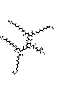 CCCCCCCCOC(=O)CN(CC(=O)OCCCCCCCC)CC(=O)O[C@@H]1C[C@@H](OC(=O)CN(CC(=O)OCCCCCCCC)CC(=O)OCCCCCCCC)CN(C(=O)OCCN(C)C)C1